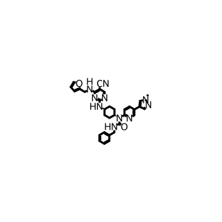 Cn1cc(-c2ccc(N(C(=O)NCc3ccccc3)[C@H]3CC[C@H](Nc4ncc(C#N)c(NCc5ccco5)n4)CC3)nc2)cn1